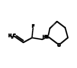 C=CC(F)C[SiH]1CCCCO1